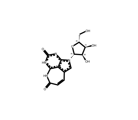 O=C1C=Cc2cn([C@@H]3O[C@H](CO)[C@@H](O)[C@H]3O)c3nc(=O)[nH]c(c23)N1